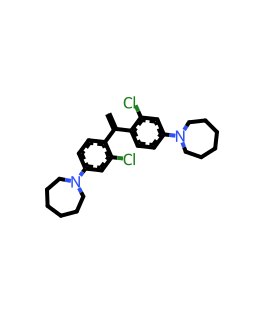 C=C(c1ccc(N2CCCCCC2)cc1Cl)c1ccc(N2CCCCCC2)cc1Cl